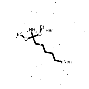 Br.CCCCCCCCCCCCCCC(N)(OCC)OCC